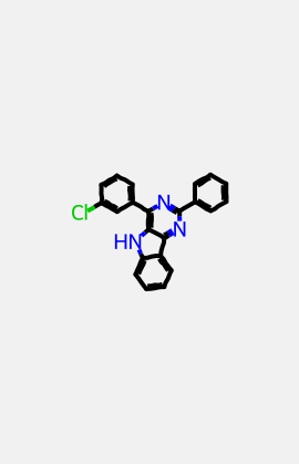 Clc1cccc(-c2nc(-c3ccccc3)nc3c2[nH]c2ccccc23)c1